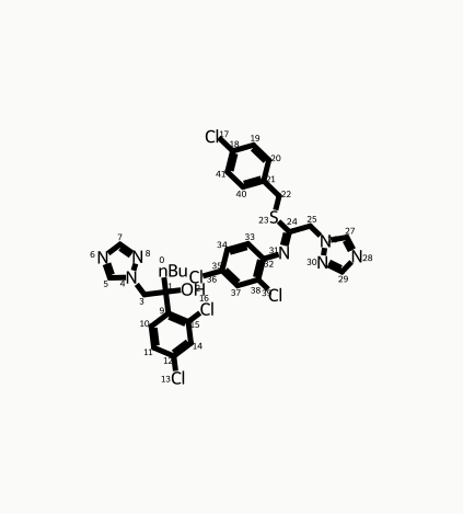 CCCCC(O)(Cn1cncn1)c1ccc(Cl)cc1Cl.Clc1ccc(CS/C(Cn2cncn2)=N\c2ccc(Cl)cc2Cl)cc1